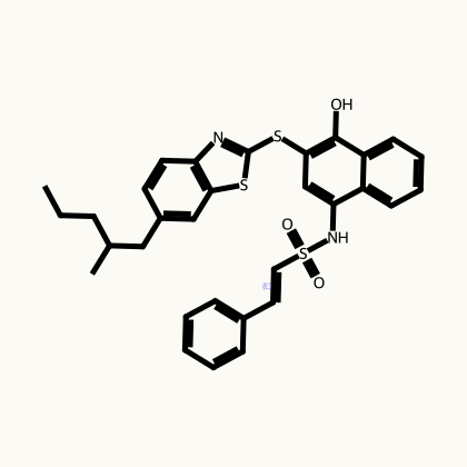 CCCC(C)Cc1ccc2nc(Sc3cc(NS(=O)(=O)/C=C/c4ccccc4)c4ccccc4c3O)sc2c1